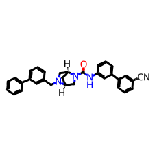 N#Cc1cccc(-c2cccc(NC(=O)N3C[C@@H]4C[C@H]3CN4Cc3cccc(-c4ccccc4)c3)c2)c1